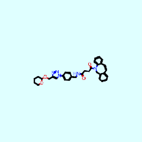 O=C(CCC(=O)N1Cc2ccccc2/C=C\c2ccccc21)NCc1ccc(-n2cc(COC3CCCCO3)nn2)cc1